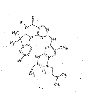 C=CC(=O)Nc1cc(Nc2ncc(C(=O)OC(C)C)c(N3CC(C)(C)c4nc(C(C)C)ccc43)n2)c(OC)cc1N(C)CCN(C)C